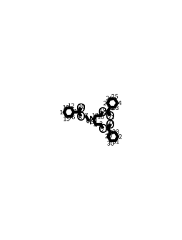 O=C(OCCN(CCOC(=O)C1CCCCC1)CCOC(=O)C1CCCCC1)C1CCCCC1